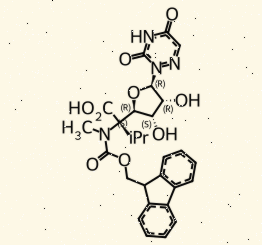 CC(C)[C@@](C(=O)O)([C@H]1O[C@@H](n2ncc(=O)[nH]c2=O)[C@H](O)[C@@H]1O)N(C)C(=O)OCC1c2ccccc2-c2ccccc21